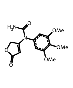 COc1cc(N(C(N)=O)C2=CC(=O)OC2)cc(OC)c1OC